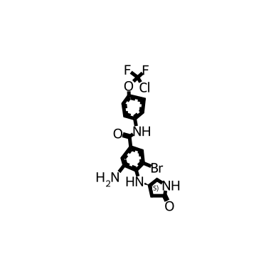 Nc1cc(C(=O)Nc2ccc(OC(F)(F)Cl)cc2)cc(Br)c1N[C@@H]1CNC(=O)C1